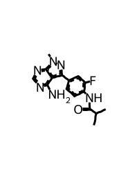 CC(C)C(=O)Nc1ccc(-c2nn(C)c3ncnc(N)c23)cc1F